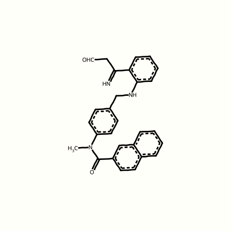 CN(C(=O)c1ccc2ccccc2c1)c1ccc(CNc2ccccc2C(=N)CC=O)cc1